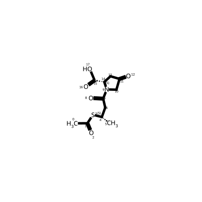 CC(=O)S[C@@H](C)CC(=O)N1CC(=O)C[C@H]1C(=O)O